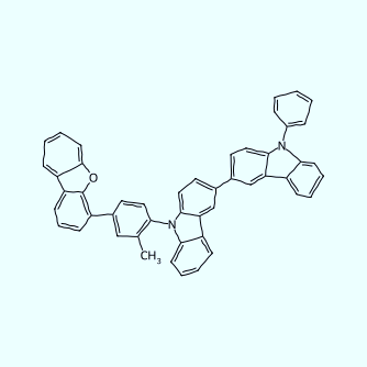 Cc1cc(-c2cccc3c2oc2ccccc23)ccc1-n1c2ccccc2c2cc(-c3ccc4c(c3)c3ccccc3n4-c3ccccc3)ccc21